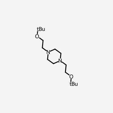 CC(C)(C)OCCN1CCN(CCOC(C)(C)C)CC1